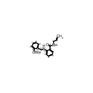 C=CCNC(=O)c1ccccc1NCc1ccccc1OC